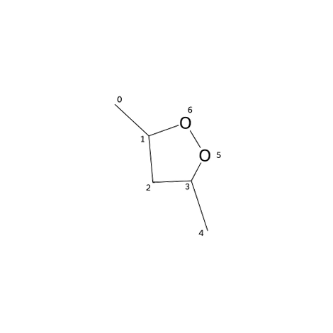 CC1CC(C)OO1